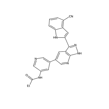 CCC(=O)Nc1cncc(-c2cnc3[nH]nc(-c4cc5c(C#N)cccc5[nH]4)c3c2)c1